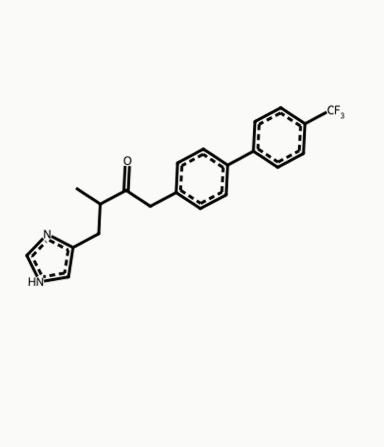 CC(Cc1c[nH]cn1)C(=O)Cc1ccc(-c2ccc(C(F)(F)F)cc2)cc1